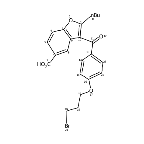 CCCCc1oc2ccc(C(=O)O)cc2c1C(=O)c1ccc(OCCCBr)cc1